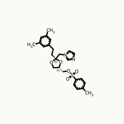 Cc1ccc(S(=O)(=O)OC[C@@H]2CO[C@](CCc3cc(C)cc(C)c3)(Cn3ccnc3)O2)cc1